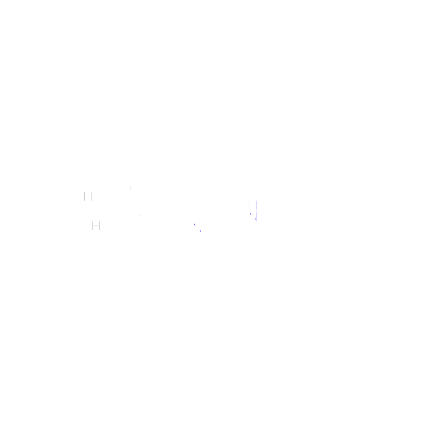 CC(C)(C)S(=O)(=O)CCNCCNC(=O)C1=C/CCCC/C=C\1